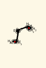 C=CC(=O)OCC(C)(COC(C)=O)NC(=O)OCCCCCCSCCCn1c(=O)n(CC)c(=O)n(CCCSCCCCCCOC(=O)NC(C)(COC(=O)C=C)COC(=O)C=C)c1=O